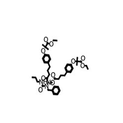 CCCNC(=O)N(Cc1ccccc1)N(OC(=O)CCCc1ccc(OC(C)(C)C(=O)OCC)cc1)C(=O)CCCc1ccc(OC(C)(C)C(=O)OCC)cc1